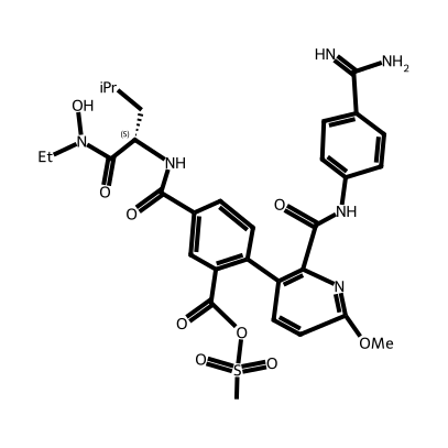 CCN(O)C(=O)[C@H](CC(C)C)NC(=O)c1ccc(-c2ccc(OC)nc2C(=O)Nc2ccc(C(=N)N)cc2)c(C(=O)OS(C)(=O)=O)c1